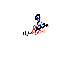 CCOC(=O)c1c(O)c2cc(Br)cnc2n(CCN2CCCCC2)c1=O